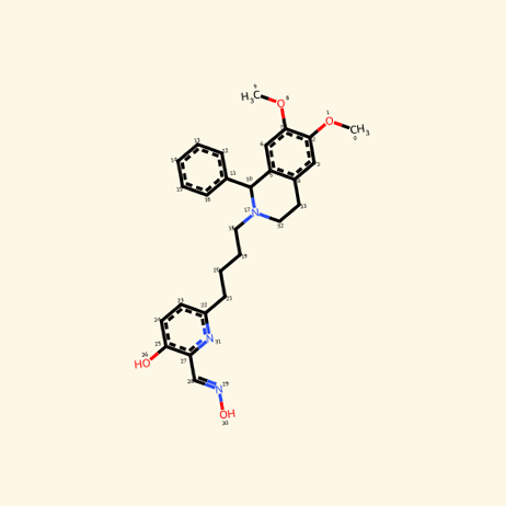 COc1cc2c(cc1OC)C(c1ccccc1)N(CCCCc1ccc(O)c(C=NO)n1)CC2